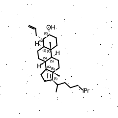 C=CC[C@@H]1[C@H](O)CC[C@@]2(C)[C@H]1CC[C@@H]1[C@@H]2CC[C@]2(C)[C@@H](C(C)CCCC(C)C)CC[C@@H]12